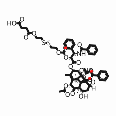 CC(=O)O[C@H]1C(=O)[C@]2(C)[C@@H](O)C[C@H]3OC[C@@]3(OC(C)=O)C23[C@H](OC(=O)c2ccccc2)[C@]2(O)C[C@H](OC(=O)[C@H](OC(=O)OCCSSCCOC(=O)CCC(=O)O)[C@@H](NC(=O)c4ccccc4)c4ccccc4)C(C)=C1[C@]32C